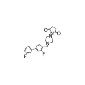 O=C1CCC(=O)N1N1CCN(Cc2ccc(-c3cccc(F)c3)cc2F)CC1